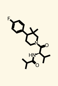 CC(C)C(=O)N[C@@H](C(=O)N1CCC(c2ccc(F)cc2)C(C)(C)C1)C(C)C